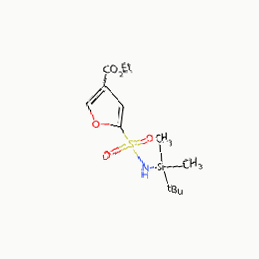 CCOC(=O)c1coc(S(=O)(=O)N[Si](C)(C)C(C)(C)C)c1